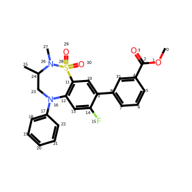 COC(=O)c1cccc(-c2cc3c(cc2F)N(c2ccccc2)CC(C)N(C)S3(=O)=O)c1